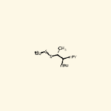 CCCCC(CCC)[C@@H](C)SSC(C)(C)C